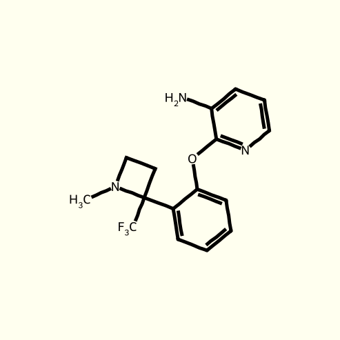 CN1CCC1(c1ccccc1Oc1ncccc1N)C(F)(F)F